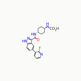 O=C(O)N[C@H]1CC[C@H](NC(=O)c2n[nH]c3ccc(-c4cccnc4F)cc23)CC1